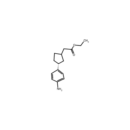 CCOC(=O)CC1CC[C@@H](c2ccc(N)cc2)C1